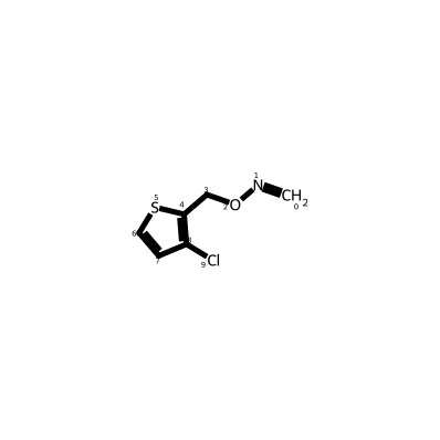 C=NOCc1sccc1Cl